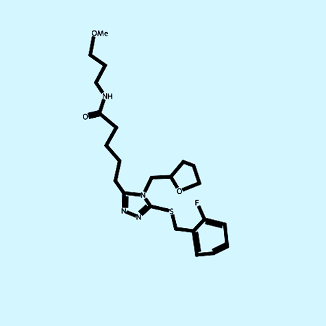 COCCCNC(=O)CCCCc1nnc(SCc2ccccc2F)n1CC1CCCO1